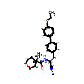 CCSc1ccc(-c2ccc(C[C@@H](C#N)NC(=O)C3(N)CCOCC3)cc2)cc1